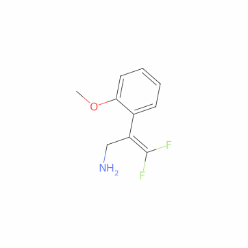 COc1ccccc1C(CN)=C(F)F